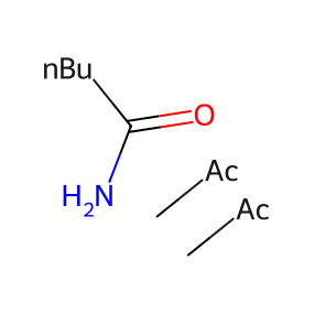 CC(C)=O.CC(C)=O.CCCCC(N)=O